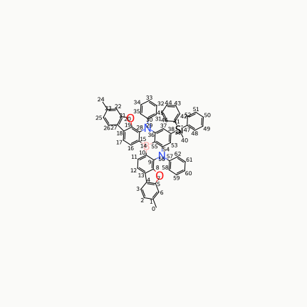 Cc1ccc2c(c1)oc1c3c(ccc12)B1c2ccc4c(oc5cc(C)ccc54)c2N(c2ccccc2)c2cc([Si](C)(c4ccccc4)c4ccccc4)cc(c21)N3c1ccccc1